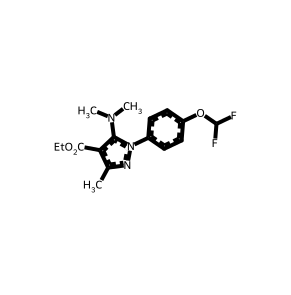 CCOC(=O)c1c(C)nn(-c2ccc(OC(F)F)cc2)c1N(C)C